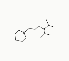 CC(C)N(CCCN1CCCCC1)C(C)C